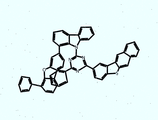 c1ccc(-c2nc(-c3ccc4sc5cc6ccccc6cc5c4c3)nc(-n3c4ccccc4c4cccc(-c5ccc6c(c5)oc5c(-c7ccccc7)cccc56)c43)n2)cc1